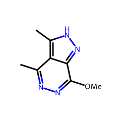 COc1nnc(C)c2c(C)[nH]nc12